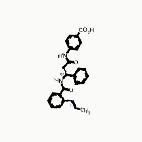 C/C=C/c1ccccc1C(=O)N[C@@H](CC(=O)Nc1ccc(C(=O)O)cc1)c1ccccc1